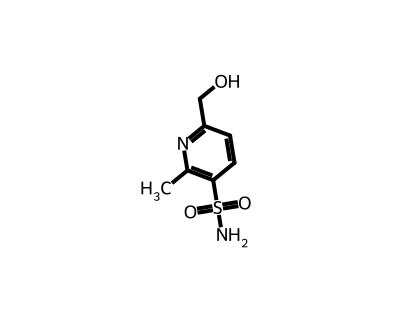 Cc1nc(CO)ccc1S(N)(=O)=O